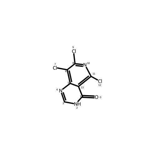 O=c1[nH]cnc2c(Cl)c(Cl)nc(Cl)c12